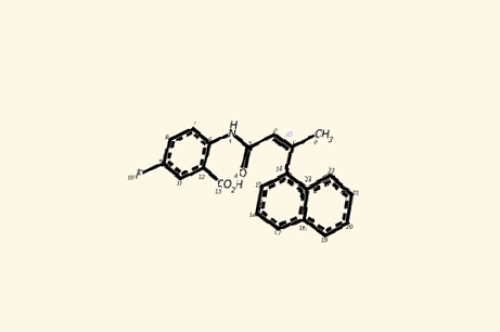 C/C(=C/C(=O)Nc1ccc(F)cc1C(=O)O)c1cccc2ccccc12